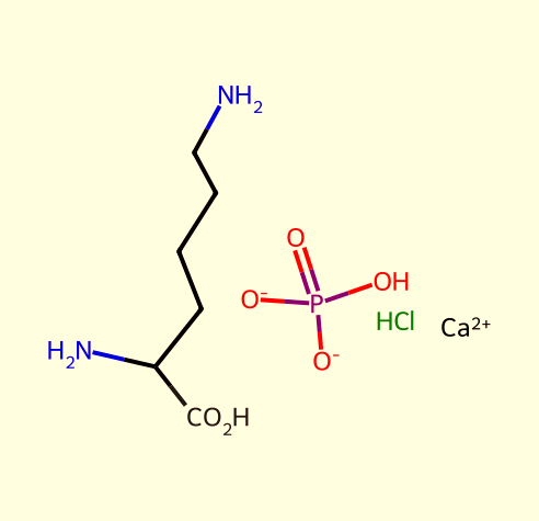 Cl.NCCCCC(N)C(=O)O.O=P([O-])([O-])O.[Ca+2]